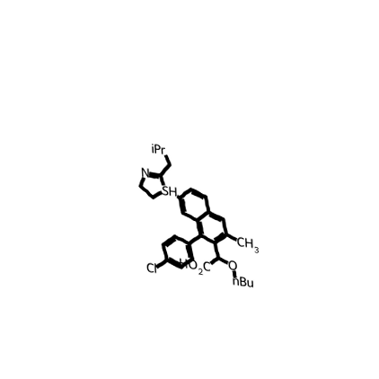 CCCCOC(C(=O)O)c1c(C)cc2ccc([SH]3CCN=C3CC(C)C)cc2c1-c1ccc(Cl)cc1